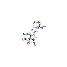 C#Cc1nn([C@H]2C[C@H](COC)N(C(=O)C=C)C2)c(NC)c1C(N)O